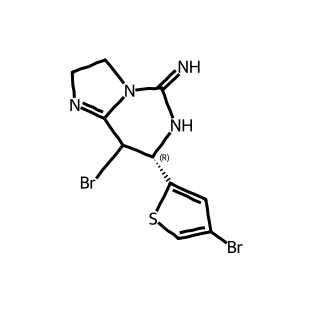 N=C1N[C@H](c2cc(Br)cs2)C(Br)C2=NCCN12